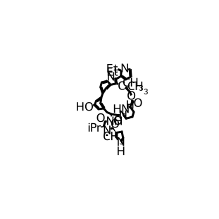 CCc1ncccc1-c1c2c3cc(ccc3n1CC)-c1cc(O)cc(c1)C[C@H](NC(=O)[C@H](C(C)C)N(C)C(=O)[C@H]1CCNC1)C(=O)N1CCC[C@H](N1)C(=O)OCC(C)(C)C2